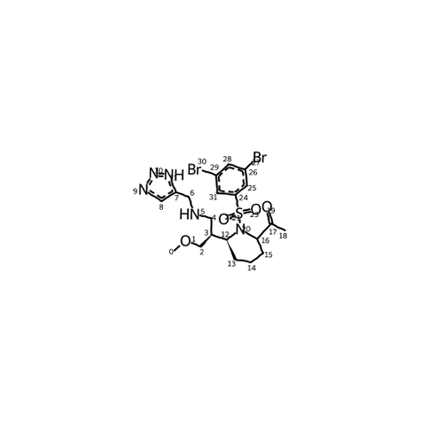 COC[C@@H](CNCc1cnn[nH]1)[C@@H]1CCCC(C(C)=O)N1S(=O)(=O)c1cc(Br)cc(Br)c1